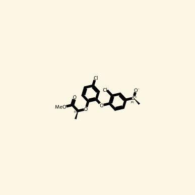 COC(=O)[C@H](C)Oc1ccc(Cl)cc1Oc1ccc([S@+](C)[O-])cc1Cl